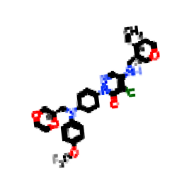 C=C[C@@H]1CCOC[C@H]1CNc1cnn([C@H]2CC[C@H](N(C[C@@H]3COCCO3)c3ccc(OC(F)(F)F)cc3)CC2)c(=O)c1Cl